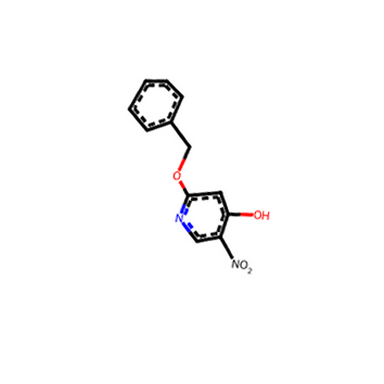 O=[N+]([O-])c1cnc(OCc2ccccc2)cc1O